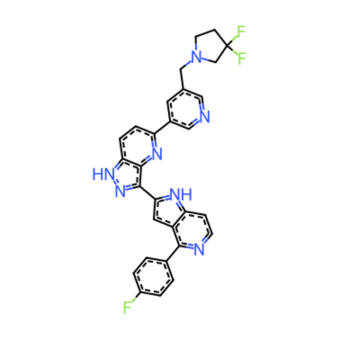 Fc1ccc(-c2nccc3[nH]c(-c4n[nH]c5ccc(-c6cncc(CN7CCC(F)(F)C7)c6)nc45)cc23)cc1